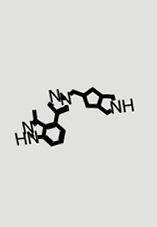 Cc1n[nH]c2cccc(-c3cnn(CC4CC5CNCC5C4)c3)c12